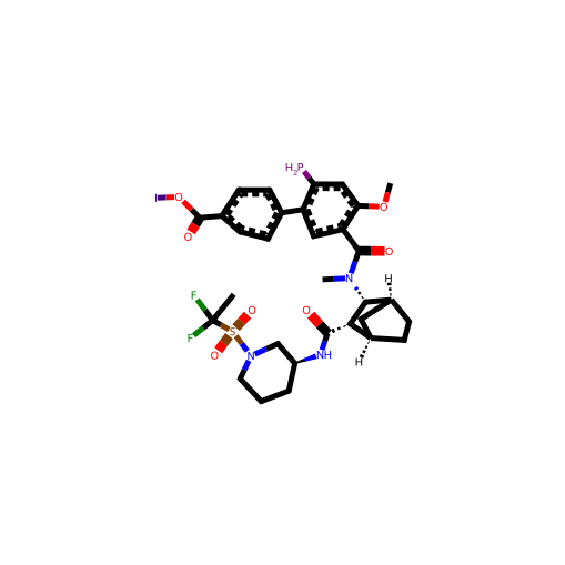 COc1cc(P)c(-c2ccc(C(=O)OI)cc2)cc1C(=O)N(C)[C@@H]1[C@H]2CC[C@H](C2)[C@@H]1C(=O)N[C@H]1CCCN(S(=O)(=O)C(C)(F)F)C1